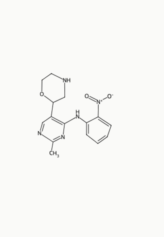 Cc1ncc(C2CNCCO2)c(Nc2ccccc2[N+](=O)[O-])n1